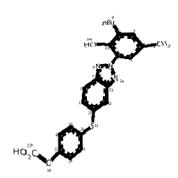 CCCCc1cc(C)cc(-n2nc3ccc(Sc4ccc(OC(=O)O)cc4)cc3n2)c1O